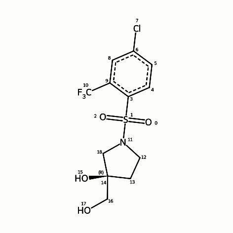 O=S(=O)(c1ccc(Cl)cc1C(F)(F)F)N1CC[C@](O)(CO)C1